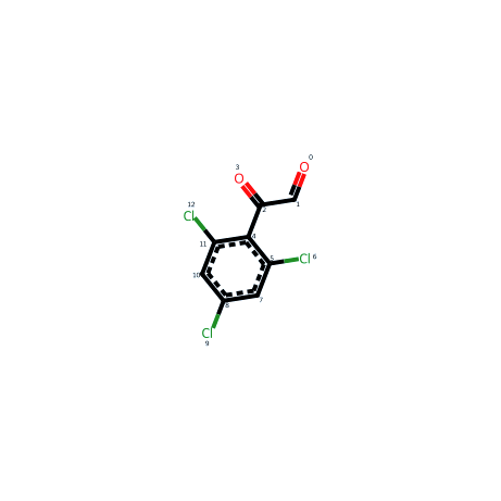 O=CC(=O)c1c(Cl)cc(Cl)cc1Cl